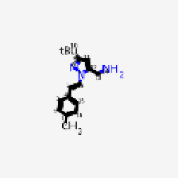 Cc1ccc(C=Cn2nc(C(C)(C)C)cc2CN)cc1